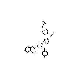 CC(C)CN(C1CCN(CC2CC2)CC1)[C@H]1CCN(C(=O)[C@@H](Cc2ccc(Cl)cc2)NC(=O)[C@H]2Cc3ccccc3CN2)C1